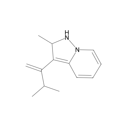 C=C(C1=C2C=CC=CN2NC1C)C(C)C